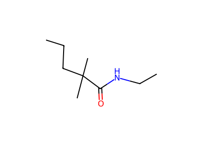 CCCC(C)(C)C(=O)NCC